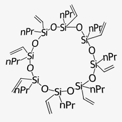 C=C[Si]1(CCC)O[Si](C=C)(CCC)O[Si](C=C)(CCC)O[Si](C=C)(CCC)O[Si](C=C)(CCC)O[Si](C=C)(CCC)O[Si](C=C)(CCC)O[Si](C=C)(CCC)O1